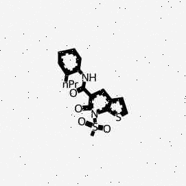 CCCc1ccccc1NC(=O)c1cc2ccsc2n(S(C)(=O)=O)c1=O